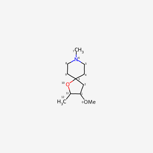 COC1CC2(CCN(C)CC2)OC1C